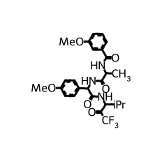 COc1ccc(C(NC(=O)C(C)NC(=O)c2cccc(OC)c2)C(=O)NC(C(=O)C(F)(F)F)C(C)C)cc1